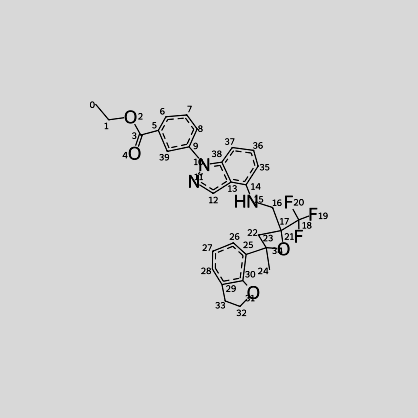 CCOC(=O)c1cccc(-n2ncc3c(NCC4(C(F)(F)F)CC(C)(c5cccc6c5OCC6)O4)cccc32)c1